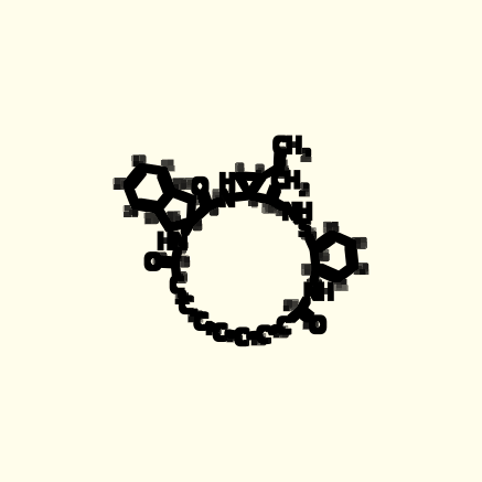 C=C[C@@H]1C[C@@]12NC(=O)C1(Cc3ccccc3C1)NC(=O)CCCCCCCC(=O)Nc1ccccc1SNC2=C